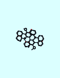 COc1c(C)c(C)c(-c2c(C)c(C)c(OC)c(-c3ccccc3)c2P(c2ccccc2)c2ccccc2)c(P(c2ccccc2)c2ccccc2)c1-c1ccccc1